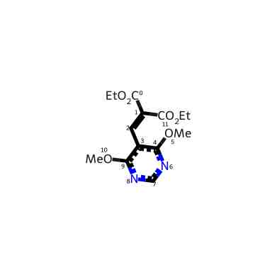 CCOC(=O)C(=Cc1c(OC)ncnc1OC)C(=O)OCC